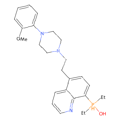 CC[PH](O)(CC)c1ccc(CCN2CCN(c3ccccc3OC)CC2)c2cccnc12